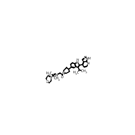 CC(C)c1c(-c2ccnc3[nH]ncc23)[nH]c2ccc(C3CCN(C(=O)CNCC(C)(C)N4CCOCC4)CC3)cc12